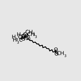 COC(=O)CCCCCCCCCCCCCCCCCP(=O)(OC(C)(C)C)OC(C)(C)C